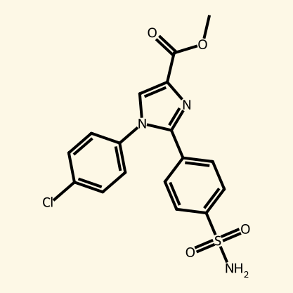 COC(=O)c1cn(-c2ccc(Cl)cc2)c(-c2ccc(S(N)(=O)=O)cc2)n1